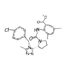 COC(=O)c1cc(C)cc(C)c1NC(=O)N1CCC[C@@H]1c1nnc(C)n1Cc1ccc(Cl)cc1